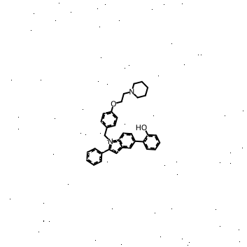 Oc1ccccc1-c1ccc2c(c1)cc(-c1ccccc1)n2Cc1ccc(OCCN2CCCCC2)cc1